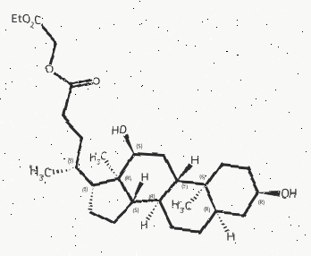 CCOC(=O)COC(=O)CC[C@@H](C)[C@H]1CC[C@H]2[C@@H]3CC[C@@H]4C[C@H](O)CC[C@]4(C)[C@H]3C[C@H](O)[C@]12C